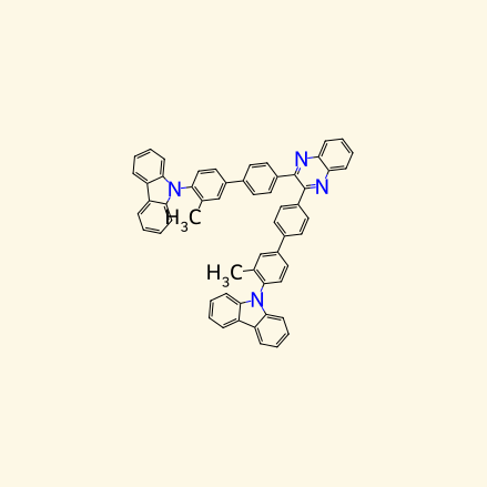 Cc1cc(-c2ccc(-c3nc4ccccc4nc3-c3ccc(-c4ccc(-n5c6ccccc6c6ccccc65)c(C)c4)cc3)cc2)ccc1-n1c2ccccc2c2ccccc21